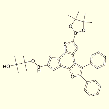 CC(C)(O)C(C)(C)OBc1cc2c3oc(-c4ccccc4)c(-c4ccccc4)c3c3cc(B4OC(C)(C)C(C)(C)O4)sc3c2s1